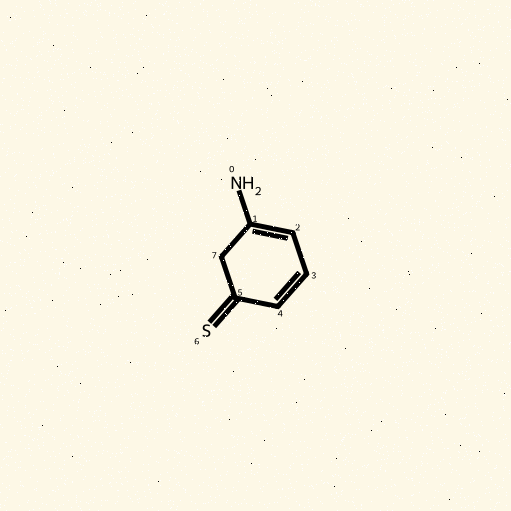 NC1=CC=CC(=S)C1